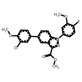 COC(=O)c1nn(-c2ccc(F)c(OC)c2)c2ccc(-c3ccc(OC)c(Cl)c3)cc12